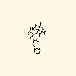 CC(CC(O)(C(F)(F)F)C(F)(F)F)OC(=O)CC1CC2C=CC1C2